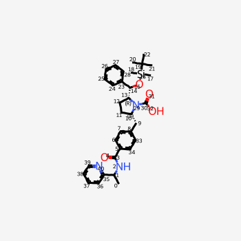 CC(NC(=O)c1ccc(C[C@@H]2CC[C@H](C(O[Si](C)(C)C(C)(C)C)c3ccccc3)N2C(=O)O)cc1)c1ccccn1